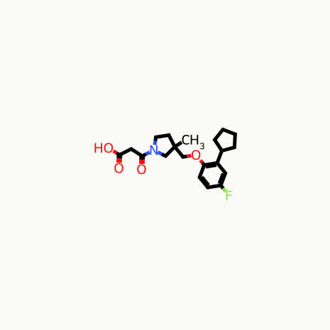 CC1(COc2ccc(F)cc2C2CCCC2)CCN(C(=O)CC(=O)O)C1